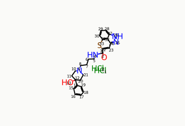 Cl.Cl.O=C(NCCCCN1CCC(O)(c2ccccc2)CC1)C1=Cc2n[nH]c3cccc(c23)S1